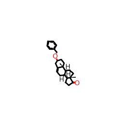 C[C@]12CCC(OCc3ccccc3)CC1=CC[C@@H]1[C@@H]2CC[C@]2(C)C(=O)CC[C@@H]12